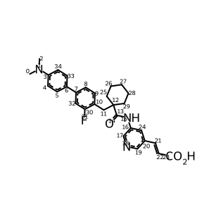 CN(C)c1ccc(-c2ccc(CC3(C(=O)Nc4cncc(/C=C/C(=O)O)c4)CCCCC3)c(F)c2)cc1